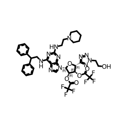 O=C(O[C@@H]1[C@H](OC(=O)C(F)(F)F)[C@@H](c2nnn(CCO)n2)O[C@H]1n1cnc2c(NCC(c3ccccc3)c3ccccc3)nc(NCCN3CCCCC3)nc21)C(F)(F)F